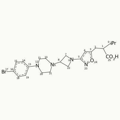 CC(C)C(Cc1cc(N2CC(N3CCN(c4ccc(Br)cc4)CC3)C2)no1)C(=O)O